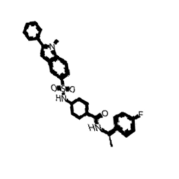 C[C@@H](NC(=O)C1CCC(NS(=O)(=O)c2ccc3c(c2)cc(-c2ccccc2)n3C)CC1)c1ccc(F)cc1